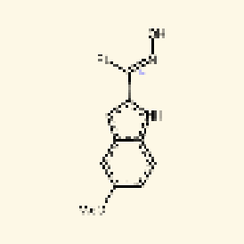 CC/C(=N\O)c1cc2cc(OC)ccc2[nH]1